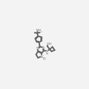 CC(C)(N)c1ccc(-c2nc3c(c(NC4(CO)CCC4)n2)[S@+]([O-])CC3)cc1